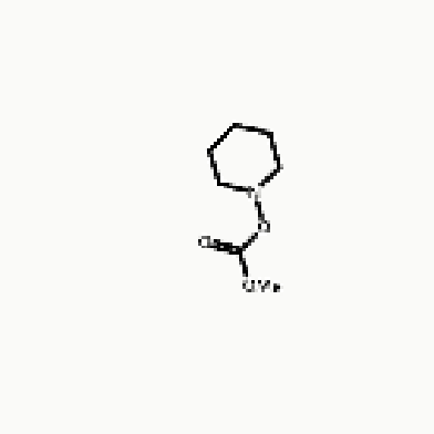 COC(=O)ON1CCCCC1